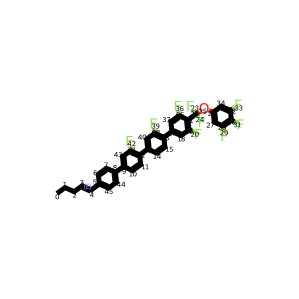 CCC/C=C/c1ccc(-c2ccc(-c3ccc(-c4cc(F)c(C(F)(F)Oc5cc(F)c(F)c(F)c5)c(F)c4)c(F)c3)c(F)c2)cc1